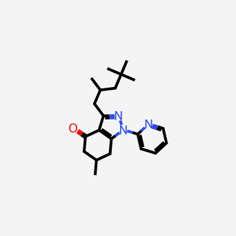 CC1CC(=O)c2c(CC(C)CC(C)(C)C)nn(-c3ccccn3)c2C1